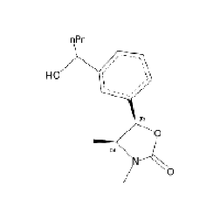 CCCC(O)c1cccc([C@H]2OC(=O)N(C)[C@H]2C)c1